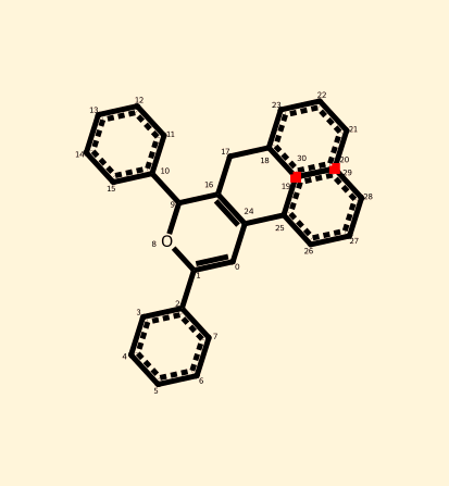 C1=C(c2ccccc2)OC(c2ccccc2)C(Cc2ccccc2)=C1c1ccccc1